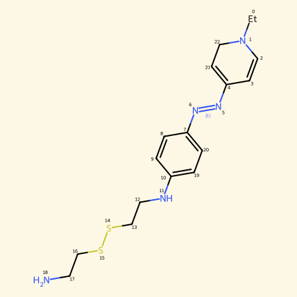 CCN1C=CC(/N=N/c2ccc(NCCSSCCN)cc2)=CC1